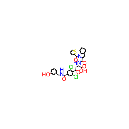 O=C(NCc1cccc(O)c1)c1cc(Cl)c(C(=O)CC(NC(=O)c2cc3ccccc3n2C(=O)c2cccs2)C(=O)O)c(Cl)c1